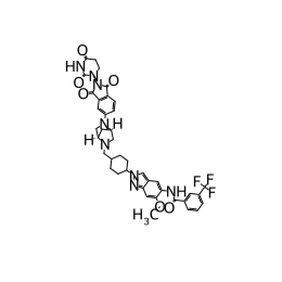 COc1cc2nn(C3CCC(CN4C[C@H]5C[C@@H]4CN5c4ccc5c(c4)C(=O)N(N4CCC(=O)NC4=O)C5=O)CC3)cc2cc1NC(=O)c1cccc(C(F)(F)F)c1